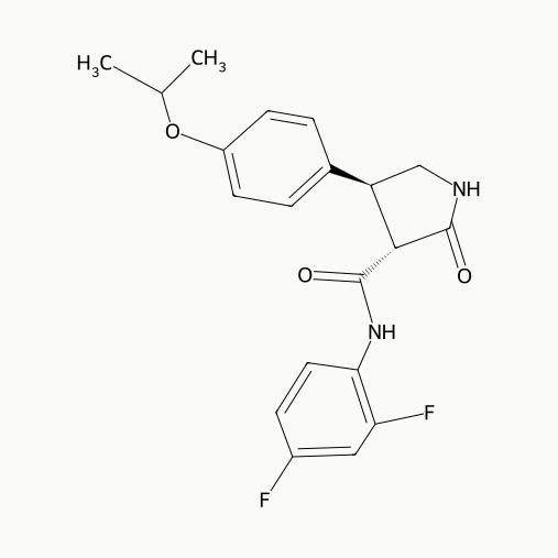 CC(C)Oc1ccc([C@H]2CNC(=O)[C@@H]2C(=O)Nc2ccc(F)cc2F)cc1